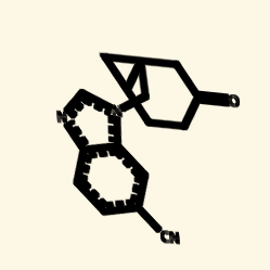 N#Cc1ccc2ncn(CC34CC(=O)CCC3C4)c2c1